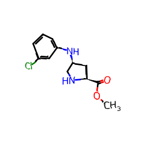 COC(=O)[C@@H]1C[C@H](Nc2cccc(Cl)c2)CN1